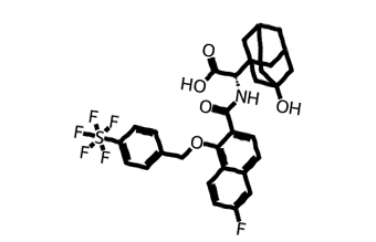 O=C(N[C@H](C(=O)O)C12CC3CC(CC(O)(C3)C1)C2)c1ccc2cc(F)ccc2c1OCc1ccc(S(F)(F)(F)(F)F)cc1